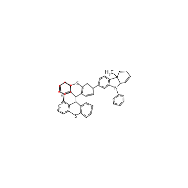 CC12C=CC=CC1N(c1ccccc1)c1cc(C3C=CC4=C(C3)SC3CC=CC=C3C4C3c4ccccc4Sc4cccc([C@H]5C=CCCC5)c43)ccc12